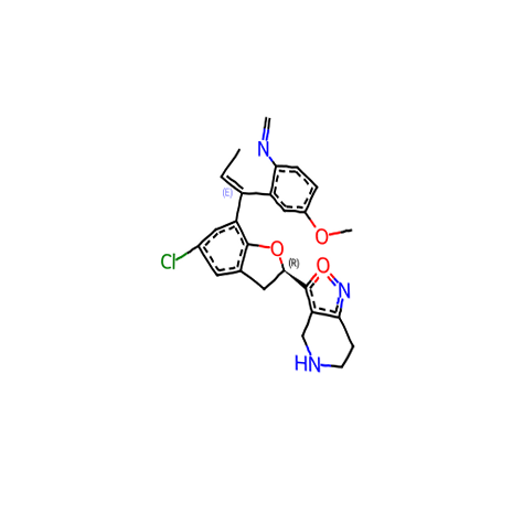 C=Nc1ccc(OC)cc1/C(=C\C)c1cc(Cl)cc2c1O[C@@H](c1onc3c1CNCC3)C2